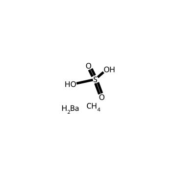 C.O=S(=O)(O)O.[BaH2]